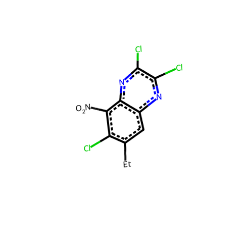 CCc1cc2nc(Cl)c(Cl)nc2c([N+](=O)[O-])c1Cl